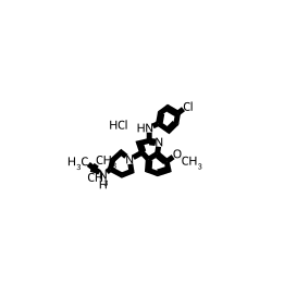 COc1cccc2c(N3CCC(NC(C)(C)C)CC3)cc(Nc3ccc(Cl)cc3)nc12.Cl